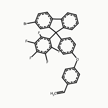 C=Cc1ccc(Oc2ccc(C3(c4c(F)c(F)c(F)c(F)c4F)c4ccccc4-c4ccc(Br)cc43)cc2)cc1